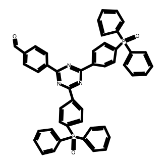 O=Cc1ccc(-c2nc(-c3ccc(P(=O)(c4ccccc4)c4ccccc4)cc3)nc(-c3ccc(P(=O)(c4ccccc4)c4ccccc4)cc3)n2)cc1